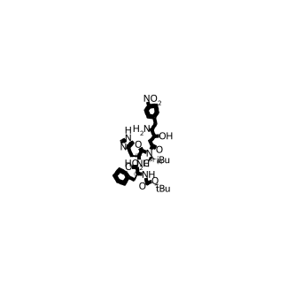 CC[C@@H](C)[C@@H](C(=O)O)N(C(=O)CC(O)[C@@H](N)Cc1ccc([N+](=O)[O-])cc1)C(=O)[C@H](Cc1c[nH]cn1)NC(=O)[C@H](Cc1ccccc1)NC(=O)OC(C)(C)C